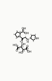 O=C(CN[C@@H]1CCNC1)N1CCCC1B(O)O.O=C(O)C(O)C(O)C(=O)O